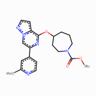 COc1cc(-c2cn3nccc3c(OC3CCCN(C(=O)OC(C)(C)C)CC3)n2)ccn1